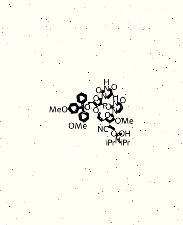 COc1ccc(C(OC[C@H]2O[C@@H](n3ccc(=O)[nH]c3=O)[C@H](F)[C@@H]2OC/C=C\[C@H]2O[C@@H](n3ccc(=O)[nH]c3=O)[C@H](OC)[C@@H]2C(C#N)COP(O)N(C(C)C)C(C)C)(c2ccccc2)c2ccc(OC)cc2)cc1